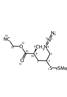 CSSC(CN=[N+]=[N-])C[C@H](C)C(=O)OCC#N